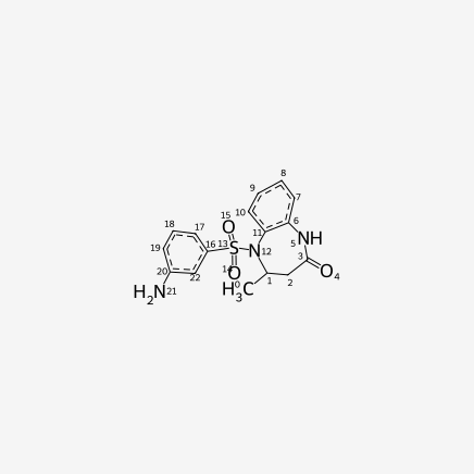 CC1CC(=O)Nc2ccccc2N1S(=O)(=O)c1cccc(N)c1